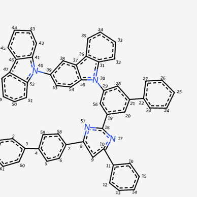 c1ccc(-c2ccc(-c3cc(-c4ccccc4)nc(-c4cc(-c5ccccc5)cc(-n5c6ccccc6c6cc(-n7c8ccccc8c8ccccc87)ccc65)c4)n3)cc2)cc1